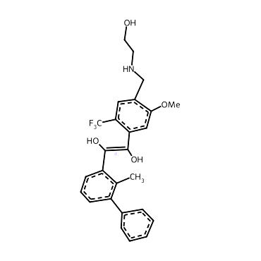 COc1cc(/C(O)=C(\O)c2cccc(-c3ccccc3)c2C)c(C(F)(F)F)cc1CNCCO